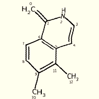 C=C1NC=Cc2c1ccc(C)c2C